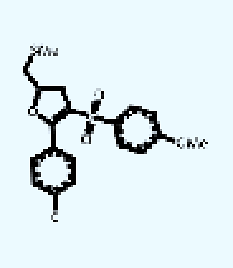 COc1ccc(S(=O)(=O)C2=C(c3ccc(Cl)cc3)OC(CSC)C2)cc1